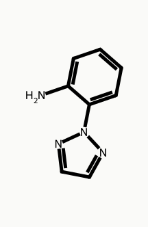 Nc1ccccc1-n1nccn1